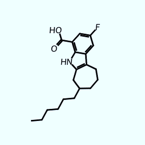 CCCCCCC1CCCc2c([nH]c3c(C(=O)O)cc(F)cc23)C1